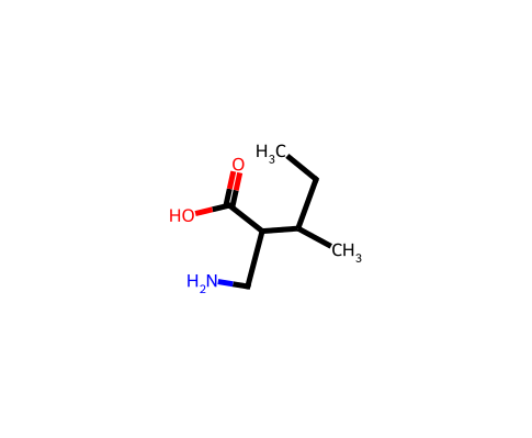 CCC(C)C(CN)C(=O)O